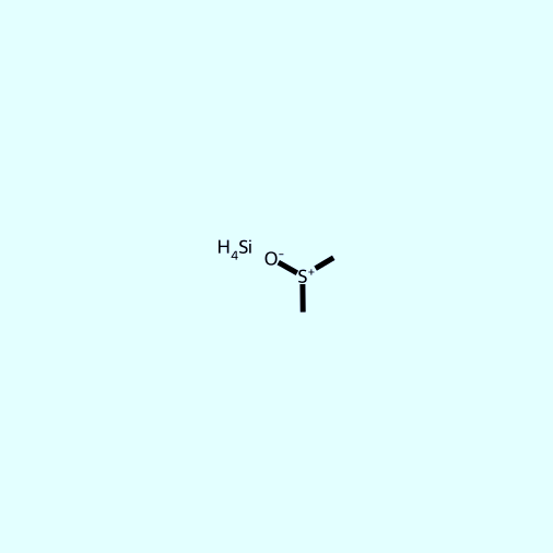 C[S+](C)[O-].[SiH4]